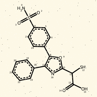 NS(=O)(=O)c1ccc(-c2oc(C(S)C(=O)O)nc2-c2ccccc2)cc1